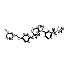 CCCCNS(=O)(=O)c1cccc(-n2nnc3cnc(Nc4ccc(OCC(O)CN(C)C)cc4)nc32)c1